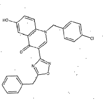 O=c1c(-c2noc(Cc3ccccc3)n2)cn(Cc2ccc(Cl)cc2)c2ccc(O)cc12